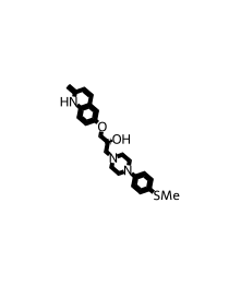 C=C1C=Cc2cc(OC[C@@H](O)CN3CCN(c4ccc(SC)cc4)CC3)ccc2N1